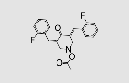 CC(=O)ON1CC(=Cc2ccccc2F)C(=O)C(=Cc2ccccc2F)C1